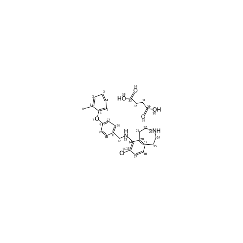 Cc1ccccc1Oc1ccc(CNc2c(Cl)ccc3c2CCNCC3)cc1.O=C(O)CCC(=O)O